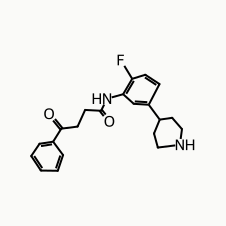 O=C(CCC(=O)c1ccccc1)Nc1cc(C2CCNCC2)ccc1F